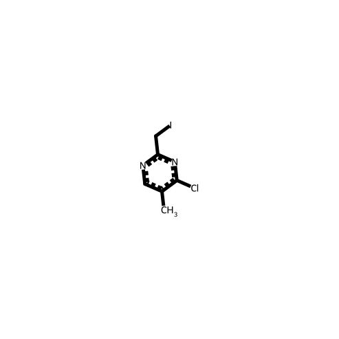 Cc1cnc(CI)nc1Cl